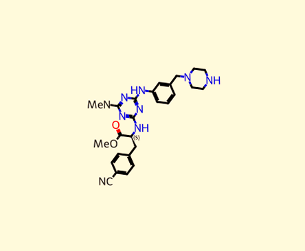 CNc1nc(Nc2cccc(CN3CCNCC3)c2)nc(N[C@@H](Cc2ccc(C#N)cc2)C(=O)OC)n1